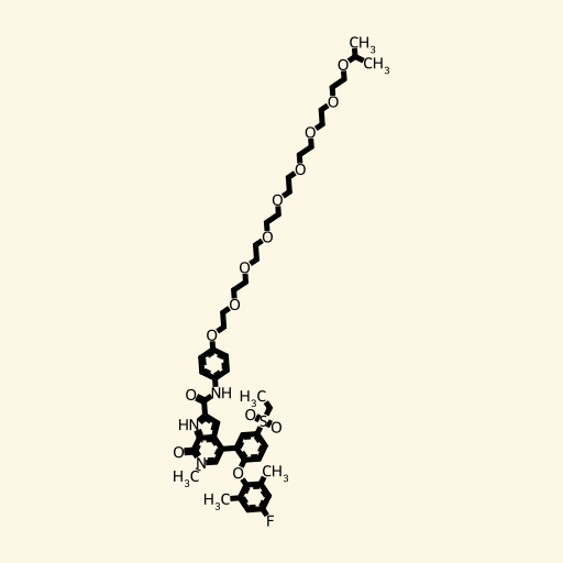 CCS(=O)(=O)c1ccc(Oc2c(C)cc(F)cc2C)c(-c2cn(C)c(=O)c3[nH]c(C(=O)Nc4ccc(OCCOCCOCCOCCOCCOCCOCCOCCOC(C)C)cc4)cc23)c1